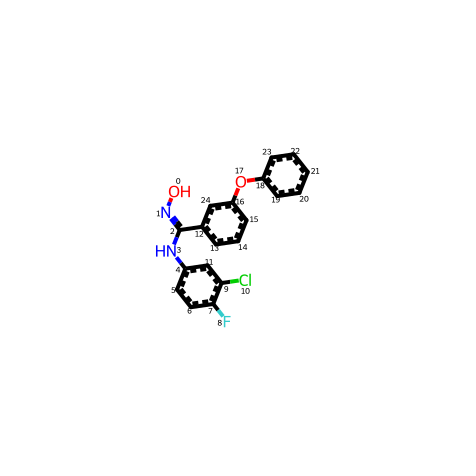 O/N=C(/Nc1ccc(F)c(Cl)c1)c1cccc(Oc2ccccc2)c1